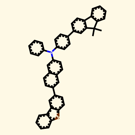 CC1(C)c2ccccc2-c2ccc(-c3ccc(N(c4ccccc4)c4ccc5cc(-c6ccc7sc8ccccc8c7c6)ccc5c4)cc3)cc21